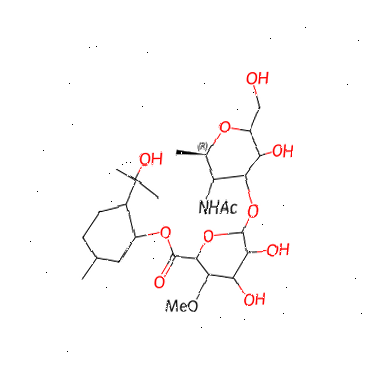 COC1C(C(=O)OC2CC(C)CCC2C(C)(C)O)OC(OC2C(O)C(CO)O[C@H](C)C2NC(C)=O)C(O)C1O